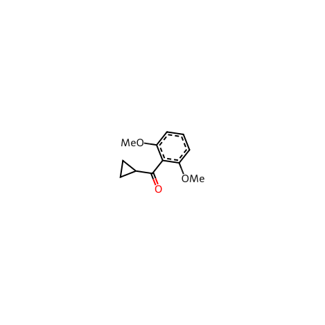 COc1cccc(OC)c1C(=O)C1CC1